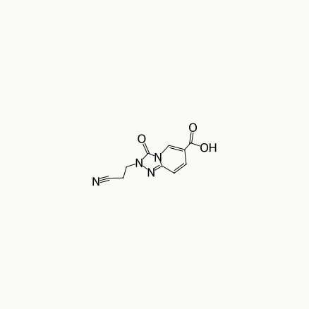 N#CCCn1nc2ccc(C(=O)O)cn2c1=O